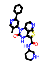 Cc1cnc(-c2ccccc2)cc1N1C(=O)Nc2c(C(=O)NC3CCCNC3)sc3nccc1c23